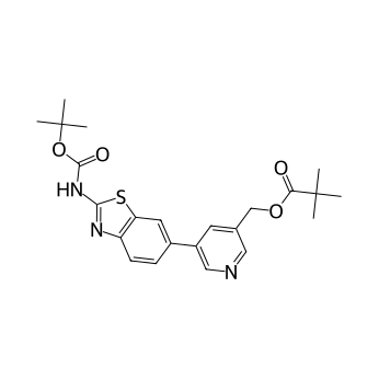 CC(C)(C)OC(=O)Nc1nc2ccc(-c3cncc(COC(=O)C(C)(C)C)c3)cc2s1